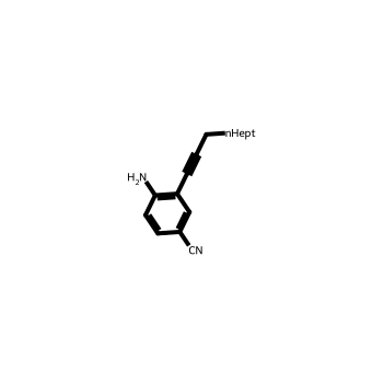 CCCCCCCCC#Cc1cc(C#N)ccc1N